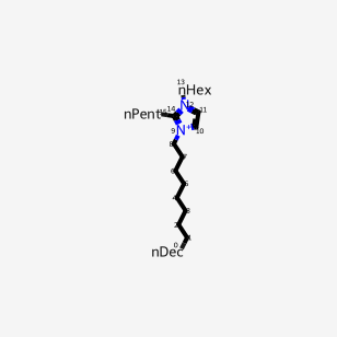 CCCCCCCCCCCCCCCCCC[n+]1ccn(CCCCCC)c1CCCCC